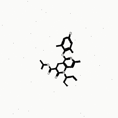 CCC(CC)N1C(=O)C(C(=O)OC(C)C)Cc2c1cc(C)nc2Oc1c(C)cc(Cl)cc1C